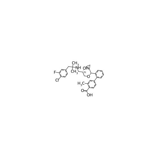 Cc1cc(-c2ccccc2C(OC[C@@H](O)CNC(C)(C)Cc2ccc(Cl)c(F)c2)C2CC2)ccc1C(=O)O